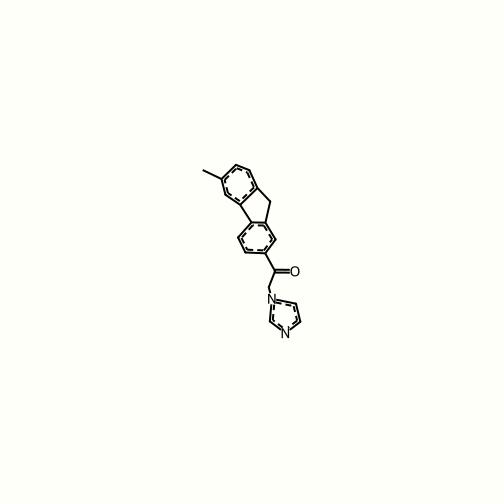 Cc1ccc2c(c1)-c1ccc(C(=O)Cn3ccnc3)cc1C2